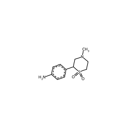 CN1CCS(=O)(=O)C(c2ccc(N)cc2)C1